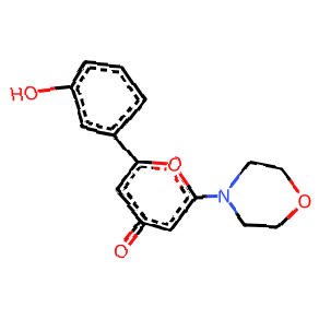 O=c1cc(-c2cccc(O)c2)oc(N2CCOCC2)c1